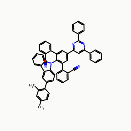 Cc1ccc(-c2ccc3c(c2)c2ccccc2n3-c2c(-c3ccccc3C#N)cc(-c3cc(-c4ccccc4)nc(-c4ccccc4)n3)cc2-c2ccccc2C#N)c(C)c1